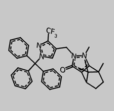 Cn1c2c(c(=O)n1Cc1cn(C(c3ccccc3)(c3ccccc3)c3ccccc3)nc1C(F)(F)F)C1CCC2(C)C1(C)C